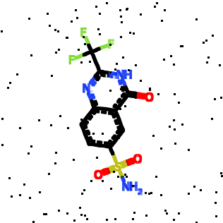 NS(=O)(=O)c1ccc2nc(C(F)(F)F)[nH]c(=O)c2c1